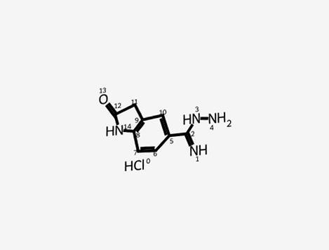 Cl.N=C(NN)c1ccc2c(c1)CC(=O)N2